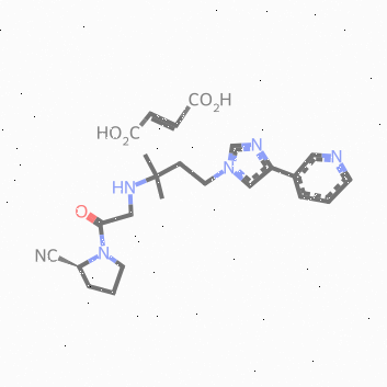 CC(C)(CCn1cnc(-c2cccnc2)c1)NCC(=O)N1CCC[C@H]1C#N.O=C(O)/C=C/C(=O)O